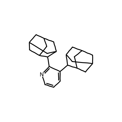 c1cnc(C2C3CC4CC(C3)CC2C4)c(C2C3CC4CC(C3)CC2C4)c1